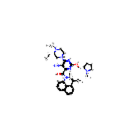 C=C(C)c1cccc2cccc(NC(=O)c3nc(OC[C@@H]4CCCN4C)nc(N4CCN(C(=O)O)[C@@H](CC#N)C4)c3N)c12